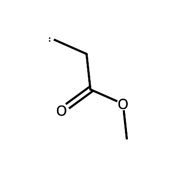 [CH]CC(=O)OC